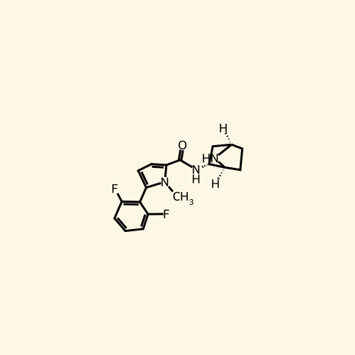 Cn1c(C(=O)N[C@@H]2C[C@H]3CC[C@@H]2N3)ccc1-c1c(F)cccc1F